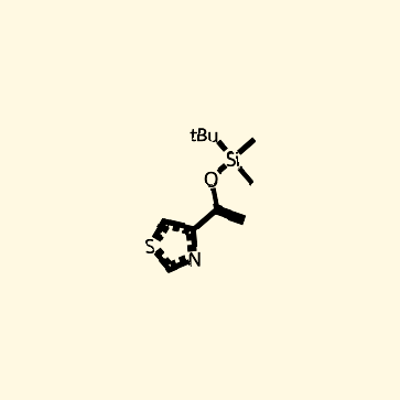 C=C(O[Si](C)(C)C(C)(C)C)c1cscn1